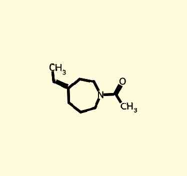 CC=C1CCCN(C(C)=O)CC1